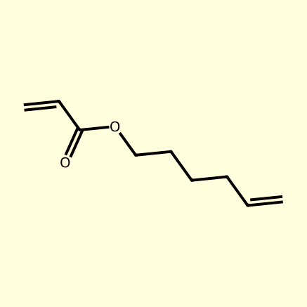 C=CCCCCOC(=O)C=C